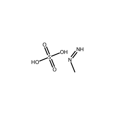 CN=N.O=S(=O)(O)O